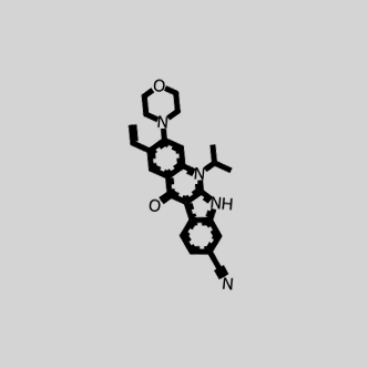 C=Cc1cc2c(=O)c3c4ccc(C#N)cc4[nH]c3n(C(C)C)c2cc1N1CCOCC1